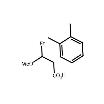 CCC(CC(=O)O)OC.Cc1ccccc1C